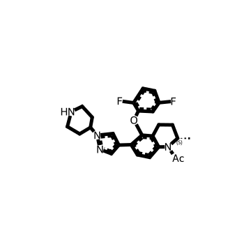 CC(=O)N1c2ccc(-c3cnn(C4CCNCC4)c3)c(Oc3cc(F)ccc3F)c2CC[C@@H]1C